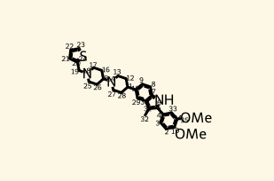 COc1ccc(-c2[nH]c3ccc(C4CCN(C5CCN(Cc6cccs6)CC5)CC4)cc3c2C)cc1OC